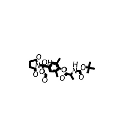 Cc1cc(C(O)(OC=O)N2C(=O)CCC2=O)cc(C)c1OC(=O)C(C)NC(=O)OC(C)(C)C